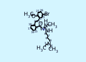 CCN(CC)CCCCN/C(=N/C(=O)c1ccccc1CCc1cc(Br)ccc1OC)NC